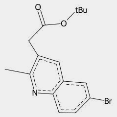 Cc1nc2ccc(Br)cc2cc1CC(=O)OC(C)(C)C